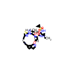 C=C[C@@H]1C[C@]1(NC(=O)[C@@H]1C[C@@H]2CN1C(=O)[C@H](C(C)(C)C)NC1=NC(CC/C=C\c3ccc4ccnc(c4c3)O2)CS1)C(=O)NS(=O)(=O)C1CC1